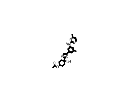 CC(=O)OC1CCC(O)(c2ncc(-c3cc(C)cc(Nc4nccc(C)n4)c3)s2)CC1